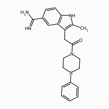 Cc1[nH]c2ccc(C(=N)N)cc2c1CC(=O)N1CCN(c2ccccc2)CC1